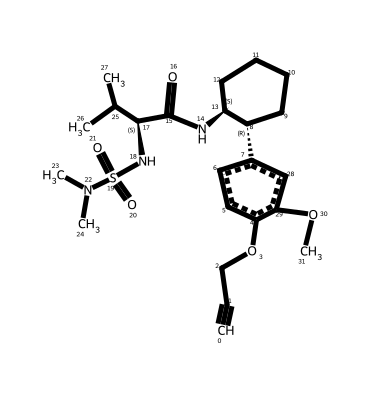 C#CCOc1ccc([C@H]2CCCC[C@@H]2NC(=O)[C@@H](NS(=O)(=O)N(C)C)C(C)C)cc1OC